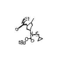 CCC(=O)C1CC(N(SC2CC2)C(=O)OC(C)(C)C)CC1C